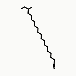 CCC(C)=CCCCCCCCCCCCCCCCC#N